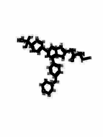 CCNC(=O)Nc1nc2cc(-c3cnc(C(C)(C)O)nc3)cc(-c3ccc(CN4CCOCC4)cn3)c2s1